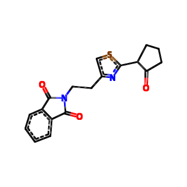 O=C1CCCC1c1nc(CCN2C(=O)c3ccccc3C2=O)cs1